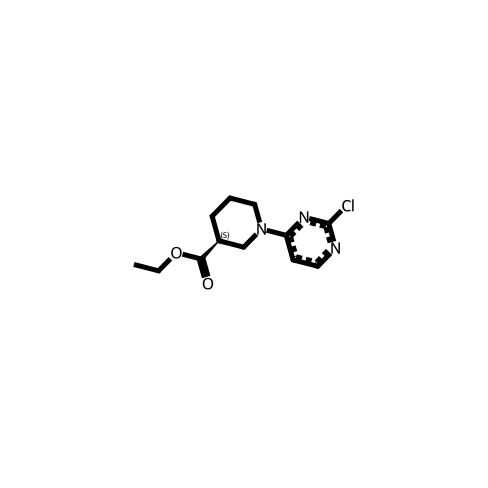 CCOC(=O)[C@H]1CCCN(c2ccnc(Cl)n2)C1